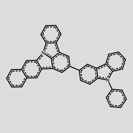 c1ccc(-n2c3ccccc3c3cc(-c4cc5c6ccccc6n6c7cc8ccccc8cc7c(c4)c56)ccc32)cc1